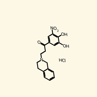 Cl.O=C(CCN1CCc2ccccc2C1)c1cc(O)c(O)c([N+](=O)[O-])c1